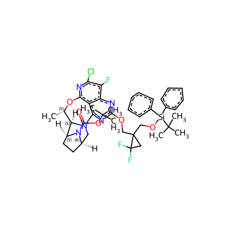 C[C@@H]1Oc2nc(Cl)c(F)c3nc(OCC4(CO[Si](c5ccccc5)(c5ccccc5)C(C)(C)C)CC4(F)F)nc(c23)N2C[C@H]3CC[C@@H]([C@@H]12)N3C(=O)OC(C)(C)C